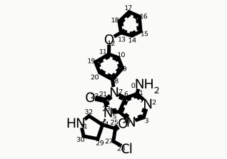 Nc1ncnc2c1n(-c1ccc(Oc3ccccc3)cc1)c(=O)n2[C@]1(C(=O)CCl)CCNC1